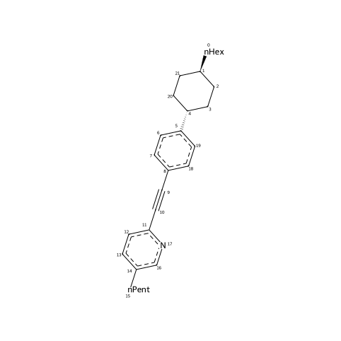 CCCCCC[C@H]1CC[C@H](c2ccc(C#Cc3ccc(CCCCC)cn3)cc2)CC1